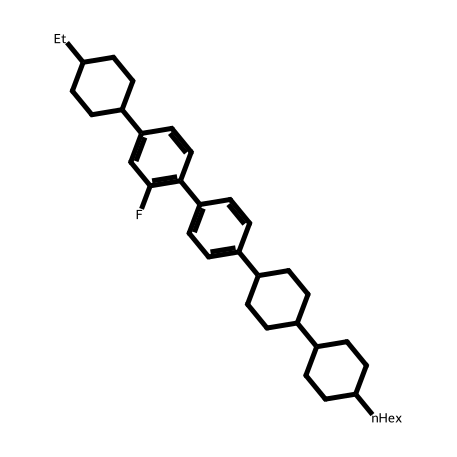 CCCCCCC1CCC(C2CCC(c3ccc(-c4ccc(C5CCC(CC)CC5)cc4F)cc3)CC2)CC1